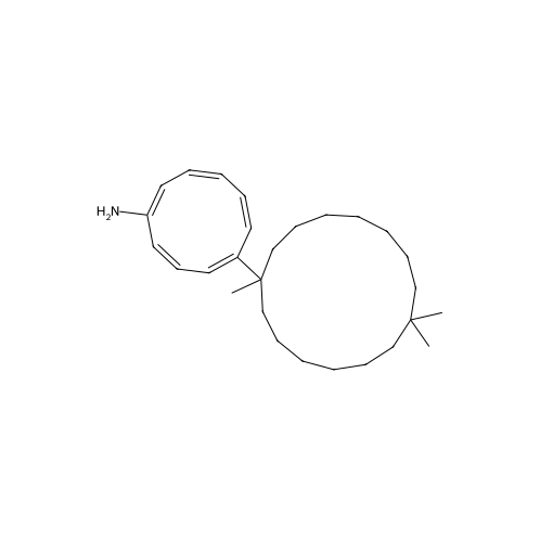 CC1(C)CCCCCCCC(C)(c2cccccc(N)ccc2)CCCCCC1